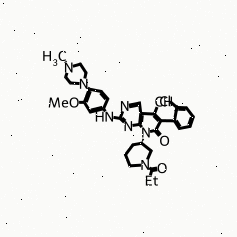 CCC(=O)N1CCC[C@H](n2c(=O)c(-c3ccccc3Cl)c(C)c3cnc(Nc4ccc(N5CCN(C)CC5)c(OC)c4)nc32)C1